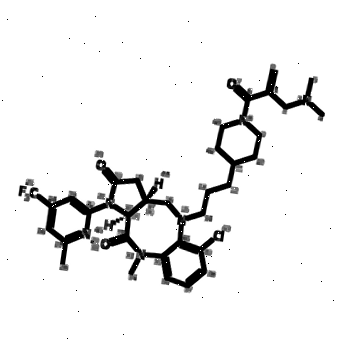 C=C(CN(C)C)C(=O)N1CCC(CCCN2C[C@H]3CC(=O)N(c4cc(C(F)(F)F)cc(C)n4)[C@@H]3C(=O)N(C)c3cccc(Cl)c32)CC1